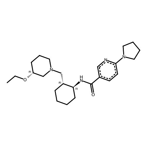 CCO[C@@H]1CCCN(C[C@H]2CCCC[C@@H]2NC(=O)c2ccc(N3CCCC3)nc2)C1